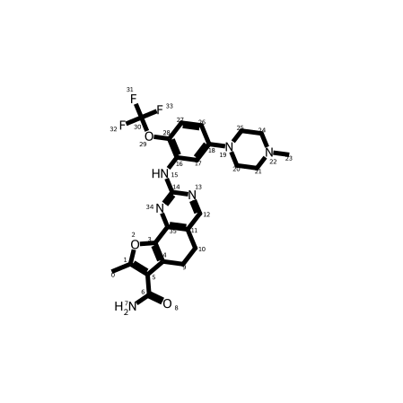 Cc1oc2c(c1C(N)=O)CCc1cnc(Nc3cc(N4CCN(C)CC4)ccc3OC(F)(F)F)nc1-2